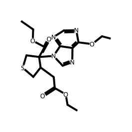 CCOC(=O)CC1CSCC1(C(=O)OCC)n1cnc2c(OCC)ncnc21